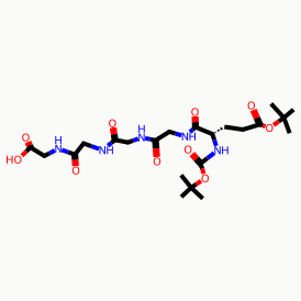 CC(C)(C)OC(=O)CC[C@H](NC(=O)OC(C)(C)C)C(=O)NCC(=O)NCC(=O)NCC(=O)NCC(=O)O